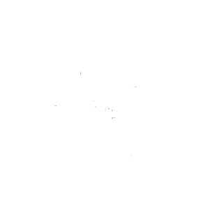 CCCCCCCC/C=C\CCCCCCCC(=O)OC[C@H](COP(=O)(O)OC[C@H](COC(=O)CCCCCCC/C=C\CCCCCCCC)OC(=O)CCCCCCC/C=C\CCCCCCCC)OC(=O)CCCCCCC/C=C\CCCCCCCC